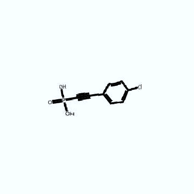 O=P(O)(O)C#Cc1ccc(Cl)cc1